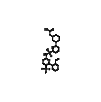 C=Cc1ccccc1-c1nc(NS(=O)(=O)c2cccc(N3CCCC(CC(=O)O)C3)n2)ccc1C(F)(F)F